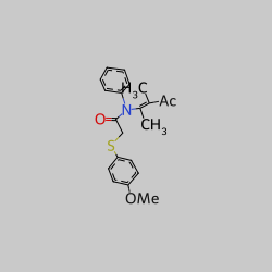 COc1ccc(SCC(=O)N(/C(C)=C(\C)C(C)=O)c2ccccc2)cc1